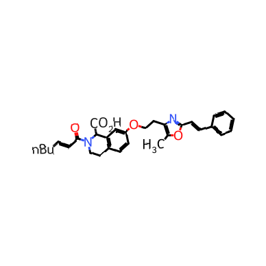 CCCCC=CC(=O)N1CCc2ccc(OCCc3nc(C=Cc4ccccc4)oc3C)cc2C1C(=O)O